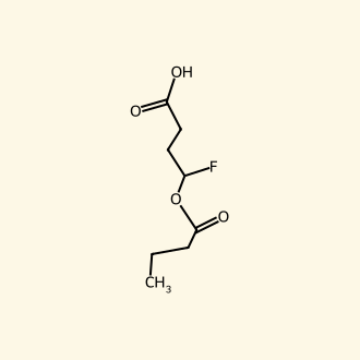 CCCC(=O)OC(F)CCC(=O)O